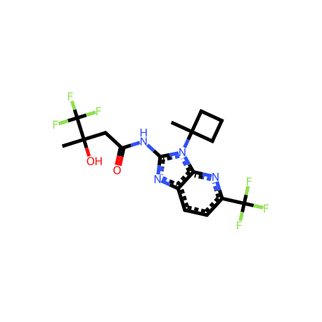 CC1(n2c(NC(=O)CC(C)(O)C(F)(F)F)nc3ccc(C(F)(F)F)nc32)CCC1